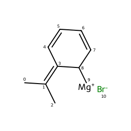 CC(C)=C1C=CC=C[CH]1[Mg+].[Br-]